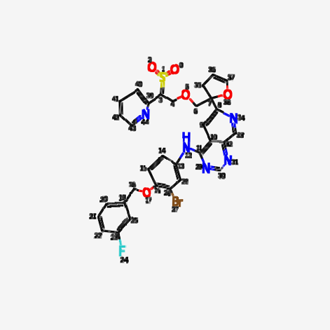 O=S(=O)=C(COCC1(c2cc3c(Nc4ccc(OCc5cccc(F)c5)c(Br)c4)ncnc3cn2)CC=CO1)c1ccccn1